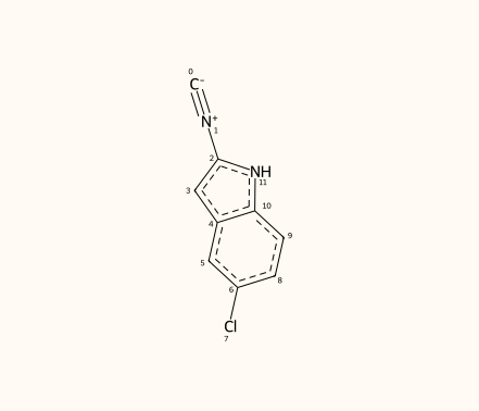 [C-]#[N+]c1cc2cc(Cl)ccc2[nH]1